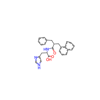 O=C(NC(Cc1c[nH]cn1)C(=O)O)C(Cc1ccccc1)Cc1cccc2ccccc12